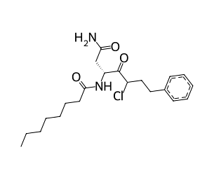 CCCCCCCC(=O)N[C@H](CC(N)=O)C(=O)C(Cl)CCc1ccccc1